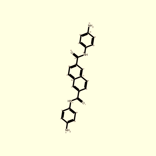 Nc1ccc(NC(=O)c2ccc3cc(C(=O)Nc4ccc(N)cc4)ccc3c2)cc1